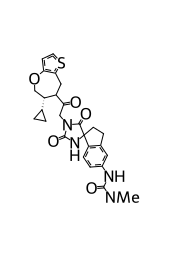 CNC(=O)Nc1ccc2c(c1)CCC21NC(=O)N(CC(=O)C2Cc3sccc3OC[C@H]2C2CC2)C1=O